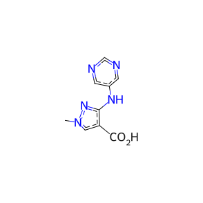 Cn1cc(C(=O)O)c(Nc2cncnc2)n1